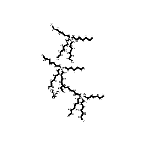 CCCCCCC[N+](CCCCCCC)(CCCCCCC)CCCCCCC.CCCCCCC[N+](CCCCCCC)(CCCCCCC)CCCCCCC.CCCCCCC[N+](CCCCCCC)(CCCCCCC)CCCCCCC.[O-]B([O-])[O-]